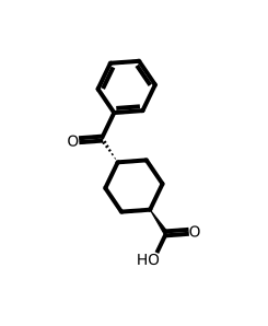 O=C(O)[C@H]1CC[C@H](C(=O)c2ccccc2)CC1